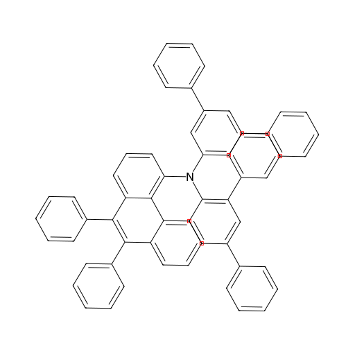 c1ccc(-c2cc(-c3ccccc3)cc(N(c3ccc(-c4ccccc4)cc3-c3ccccc3)c3cccc4c(-c5ccccc5)c(-c5ccccc5)c5ccccc5c34)c2)cc1